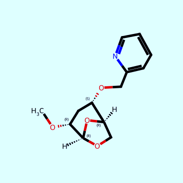 CO[C@@H]1C[C@H](OCc2ccccn2)[C@H]2CO[C@@H]1O2